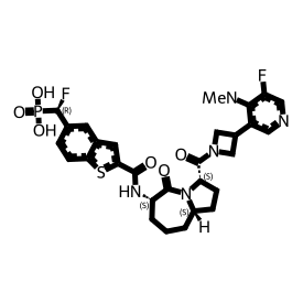 CNc1c(F)cncc1C1CN(C(=O)[C@@H]2CC[C@@H]3CCC[C@H](NC(=O)c4cc5cc([C@H](F)P(=O)(O)O)ccc5s4)C(=O)N32)C1